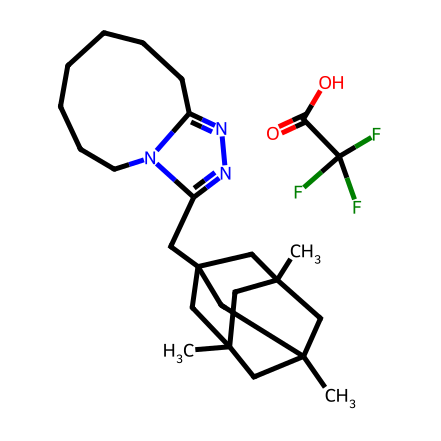 CC12CC3(C)CC(C)(C1)CC(Cc1nnc4n1CCCCCCC4)(C2)C3.O=C(O)C(F)(F)F